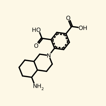 NC1CCCC2CN(c3ccc(C(=O)O)cc3C(=O)O)CCC12